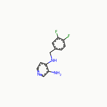 Nc1cnccc1NCc1ccc(F)c(F)c1